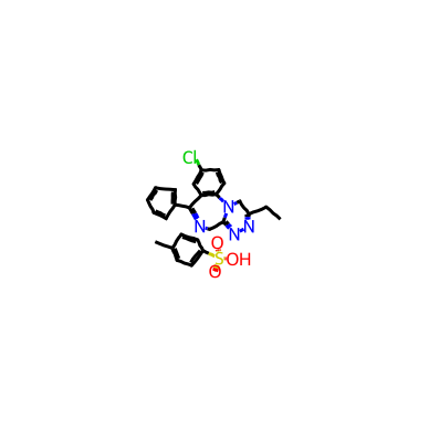 CCC1=NN=C2CN=C(c3ccccc3)c3cc(Cl)ccc3N2C1.Cc1ccc(S(=O)(=O)O)cc1